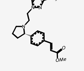 COC(=O)/C=C/c1ccc([C@@H]2CCCN2CCn2ccc(C(F)(F)F)n2)cc1